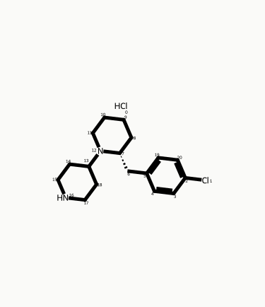 Cl.Clc1ccc(C[C@H]2CCCCN2C2CCNCC2)cc1